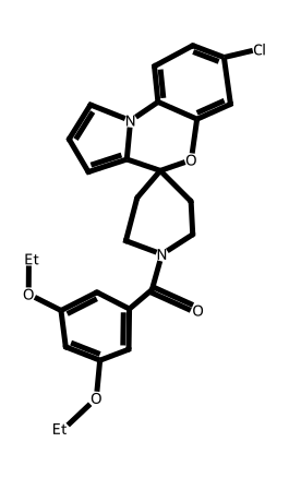 CCOc1cc(OCC)cc(C(=O)N2CCC3(CC2)Oc2cc(Cl)ccc2-n2cccc23)c1